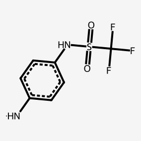 [NH]c1ccc(NS(=O)(=O)C(F)(F)F)cc1